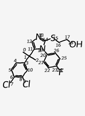 CC(C)(c1ccc(Cl)c(Cl)c1)c1cnc(SCCO)n1-c1ccc(F)cc1